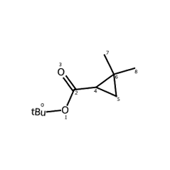 CC(C)(C)OC(=O)C1CC1(C)C